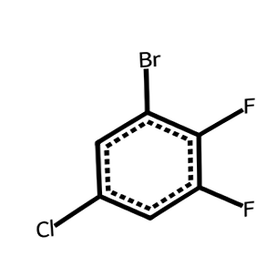 Fc1cc(Cl)cc(Br)c1F